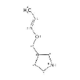 CC=NOCC1CCNC1